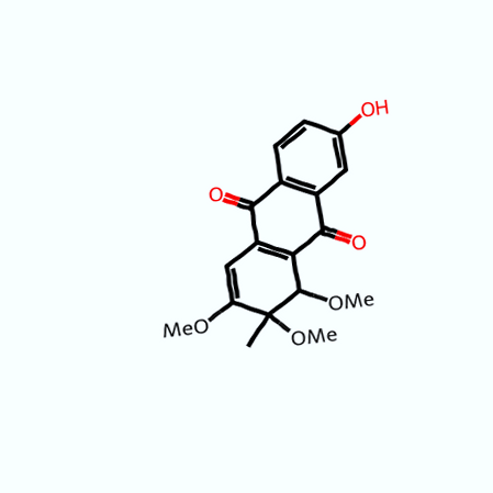 COC1=CC2=C(C(=O)c3cc(O)ccc3C2=O)C(OC)C1(C)OC